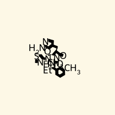 CCC(NC(=O)N1C(=O)[C@H](Cc2ccnc(N)c2)[C@H]1C(=O)N(C)c1cscn1)c1cccc(C)c1